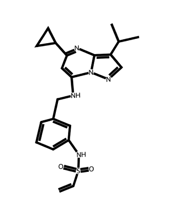 C=CS(=O)(=O)Nc1cccc(CNc2cc(C3CC3)nc3c(C(C)C)cnn23)c1